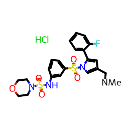 CNCc1cc(-c2ccccc2F)n(S(=O)(=O)c2cccc(NS(=O)(=O)N3CCOCC3)c2)c1.Cl